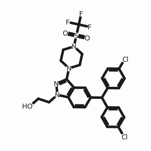 O=S(=O)(N1CCN(c2nn(CCO)c3ccc(C(c4ccc(Cl)cc4)c4ccc(Cl)cc4)cc23)CC1)C(F)(F)F